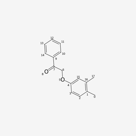 Cc1ccc(OCC(=O)c2ccccc2)cc1C